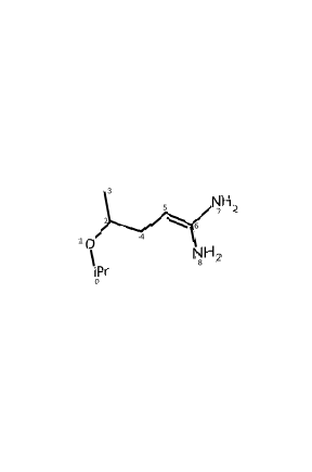 CC(C)OC(C)CC=C(N)N